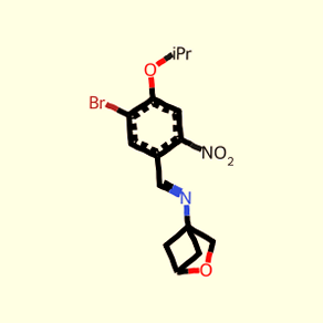 CC(C)Oc1cc([N+](=O)[O-])c(/C=N/C23COC(C2)C3)cc1Br